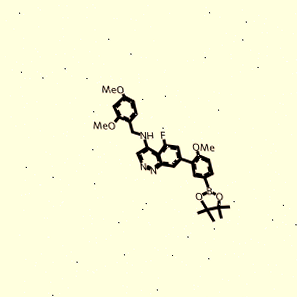 COc1ccc(CNc2cnnc3cc(-c4cc(B5OC(C)(C)C(C)(C)O5)ccc4OC)cc(F)c23)c(OC)c1